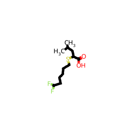 CC(C)CC(SCCCCCC(F)F)C(=O)O